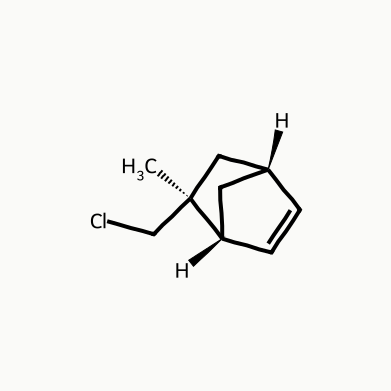 C[C@]1(CCl)C[C@@H]2C=C[C@H]1C2